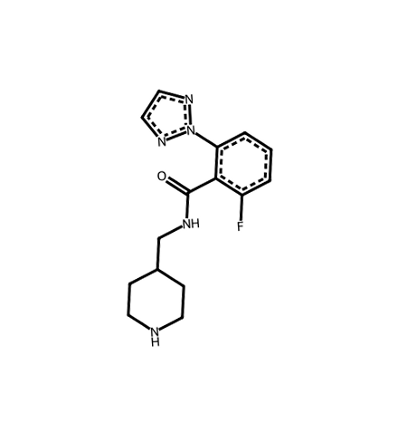 O=C(NCC1CCNCC1)c1c(F)cccc1-n1nccn1